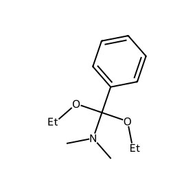 CCOC(OCC)(c1ccccc1)N(C)C